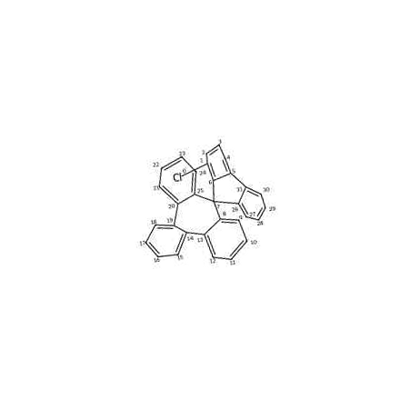 Clc1cccc2c1C1(c3ccccc3-c3ccccc3-c3ccccc31)c1ccccc1-2